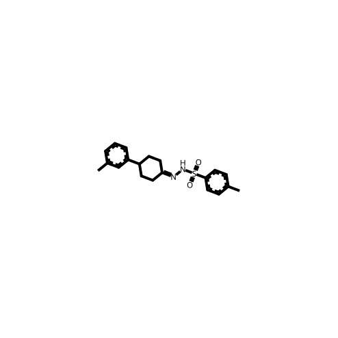 Cc1ccc(S(=O)(=O)NN=C2CCC(c3cccc(C)c3)CC2)cc1